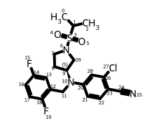 CC(C)S(=O)(=O)N1CC[C@H](N(Cc2cc(F)ccc2F)c2ccc(C#N)c(Cl)c2)C1